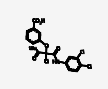 CC(C)(C)C(=O)C(Cl)(Oc1cccc(C(=O)O)c1)C(=O)Nc1ccc(Cl)c(Cl)c1